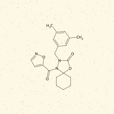 Cc1cc(C)cc(CN2C(=O)OC3(CCCCC3)N2C(=O)c2ccno2)c1